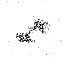 Cc1sc2c(c1C)C(c1ccc(Cl)cc1)=N[C@@H](CC(=O)NCCOCCOc1ccc(-n3c(S)nnc3-c3cc(C(C)C)c(O)cc3O)cc1)c1nnc(C)n1-2